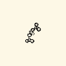 c1ccc2c(c1)c1ccccc1n2-c1ccc2c(c1)Oc1cc(-n3c4ccccc4c4ccccc43)ccc1C2